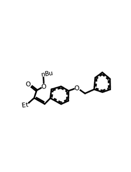 CCCCOC(=O)C(=Cc1ccc(OCc2ccccc2)cc1)CC